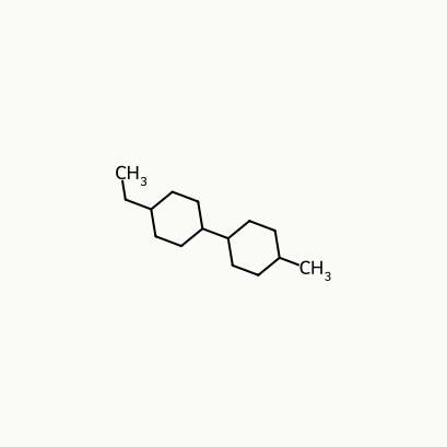 CCC1CCC(C2CCC(C)CC2)CC1